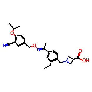 CCc1cc(C(C)=NOCc2ccc(OC(C)C)c(C#N)c2)ccc1CN1CC(C(=O)O)C1